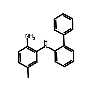 Cc1ccc(N)c(Nc2ccccc2-c2ccccc2)c1